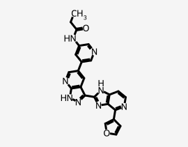 CCC(=O)Nc1cncc(-c2cnc3[nH]nc(-c4nc5c(-c6ccoc6)nccc5[nH]4)c3c2)c1